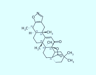 C[C@@H]1c2oncc2C[C@]2(C)C3=CC(=O)[C@]45OC(=O)[C@@]6(CCC(C)(C)CC64)CC[C@@]5(C)[C@]3(C)CC[C@@H]12